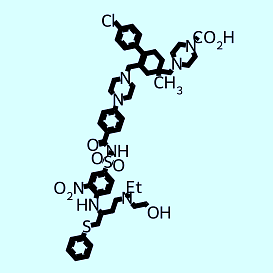 CCN(CCO)CCC(CSc1ccccc1)Nc1ccc(S(=O)(=O)NC(=O)c2ccc(N3CCN(CC4=C(c5ccc(Cl)cc5)CCC(C)(CN5CCN(C(=O)O)CC5)C4)CC3)cc2)cc1[N+](=O)[O-]